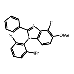 COc1ccc2c(nc(-c3ccccc3)n2-c2c(C(C)C)cccc2C(C)C)c1Cl